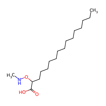 CCCCCCCCCCCCCCC(ONC)C(=O)O